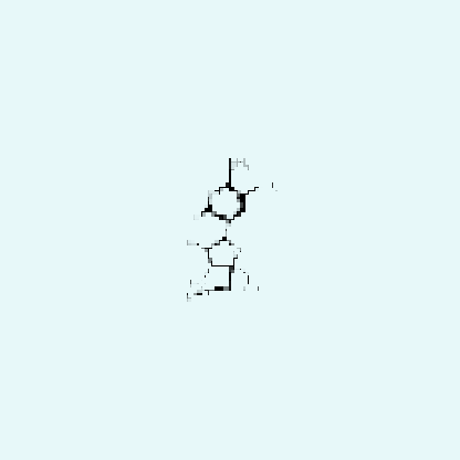 Cc1cn([C@@H]2O[C@@](CO)(N=[N+]=[N-])[C@@H](O)[C@H]2O)c(=O)nc1N